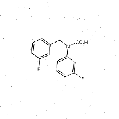 O=C(O)N(Cc1cccc(F)c1)c1cccc(F)c1